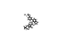 [2H]c1c(C(=O)Nc2c(-c3ccnc(OC)c3)ccc3c2CCC3)nn2c1OCC1(CC1)C2